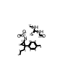 CCCC1(c2ccc(C)cc2)CC1N=S(=O)=O.CNC(=S)NC=O